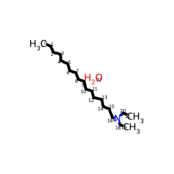 CCCCCCCCCCCCCCCCCN(CC)CC.O